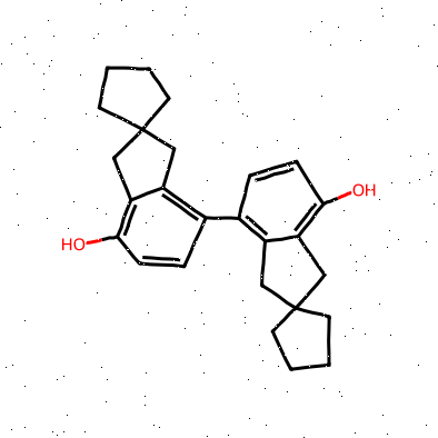 Oc1ccc(-c2ccc(O)c3c2CC2(CCCC2)C3)c2c1CC1(CCCC1)C2